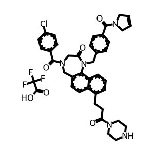 O=C(CCc1cccc2c3c(ccc12)CN(C(=O)c1ccc(Cl)cc1)CC(=O)N3Cc1ccc(C(=O)N2CC=CC2)cc1)N1CCNCC1.O=C(O)C(F)(F)F